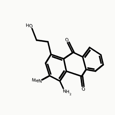 CNc1cc(CCO)c2c(c1N)C(=O)c1ccccc1C2=O